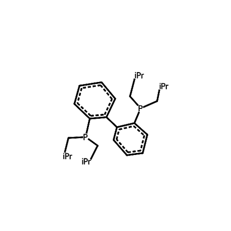 CC(C)CP(CC(C)C)c1ccccc1-c1ccccc1P(CC(C)C)CC(C)C